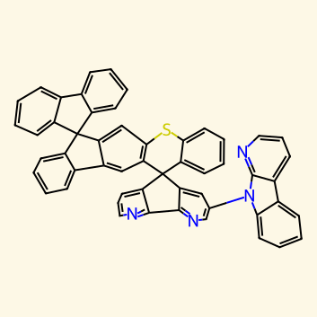 c1ccc2c(c1)Sc1cc3c(cc1C21c2cccnc2-c2ncc(-n4c5ccccc5c5cccnc54)cc21)-c1ccccc1C31c2ccccc2-c2ccccc21